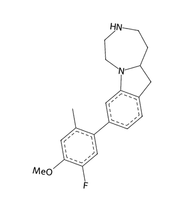 COc1cc(C)c(-c2ccc3c(c2)N2CCNCCC2C3)cc1F